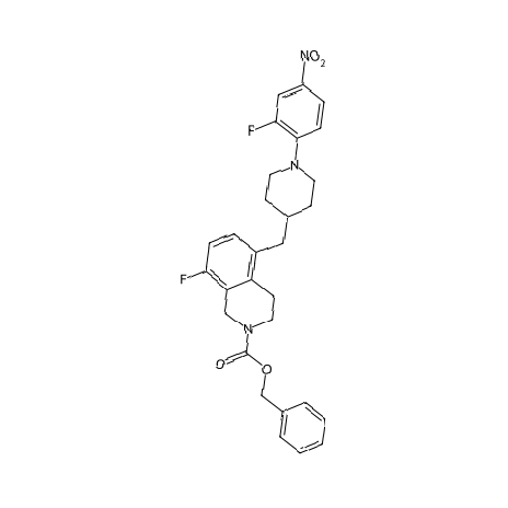 O=C(OCc1ccccc1)N1CCc2c(CC3CCN(c4ccc([N+](=O)[O-])cc4F)CC3)ccc(F)c2C1